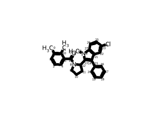 Cc1cccc(C(=O)N2CCCC2c2c(-c3ccccc3)c3cc(Cl)ccc3n2C)c1C